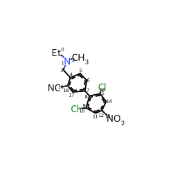 CCN(C)Cc1ccc(-c2c(Cl)cc([N+](=O)[O-])cc2Cl)cc1C#N